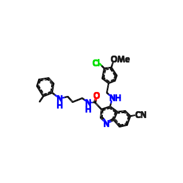 COc1ccc(CNc2c(C(=O)NCCCNc3ccccc3C)cnc3ccc(C#N)cc23)cc1Cl